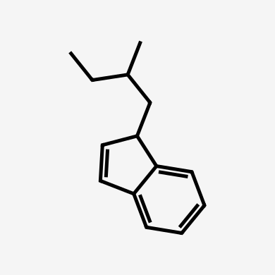 CCC(C)CC1C=Cc2ccccc21